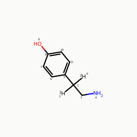 [2H]C([2H])(CN)c1ccc(O)cc1